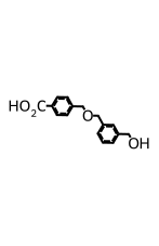 O=C(O)c1ccc(COCc2cccc(CO)c2)cc1